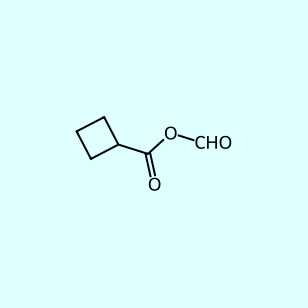 O=COC(=O)C1CCC1